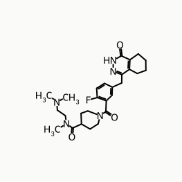 CN(C)CCN(C)C(=O)C1CCN(C(=O)c2cc(Cc3n[nH]c(=O)c4c3CCCC4)ccc2F)CC1